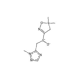 Cn1ncnc1C[S+]([O-])C1=NOC(C)(C)C1